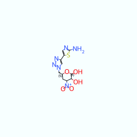 Nc1ncc(-c2cn(C[C@@H]3CC([N+](=O)[O-])C(O)[C@H](O)O3)nn2)s1